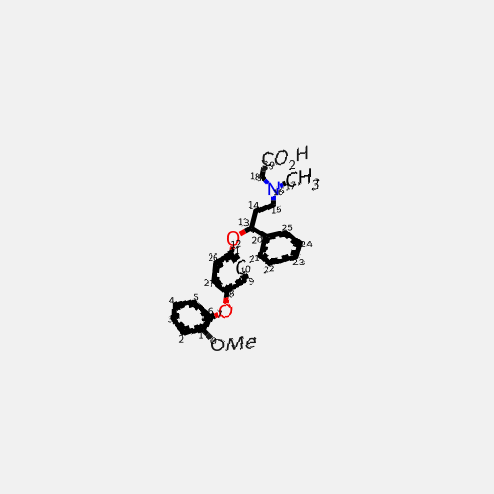 COc1ccccc1Oc1ccc(OC(CCN(C)CC(=O)O)c2ccccc2)cc1